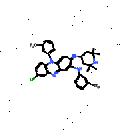 CC1(C)CC(N=c2cc3n(-c4cccc(C(F)(F)F)c4)c4ccc(Cl)cc4nc-3cc2Nc2cccc(C(F)(F)F)c2)CC(C)(C)N1